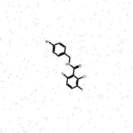 O=C(NCc1ccc(Br)cc1)c1c(F)ccc(F)c1Cl